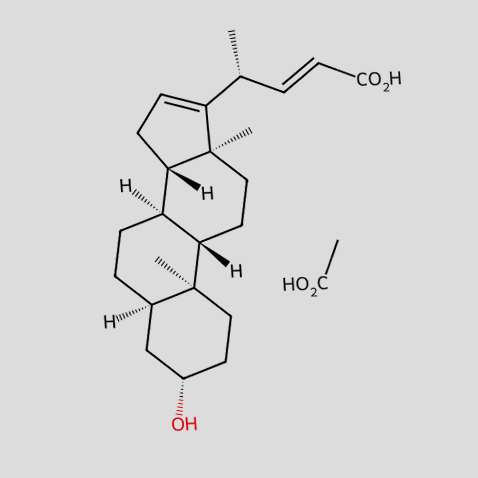 CC(=O)O.C[C@H](/C=C/C(=O)O)C1=CC[C@H]2[C@@H]3CC[C@@H]4C[C@@H](O)CC[C@]4(C)[C@H]3CC[C@]12C